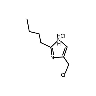 CCCCc1nc(CCl)c[nH]1.Cl